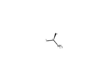 [CH2][C@H](C)N